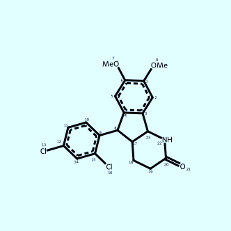 COc1cc2c(cc1OC)C(c1ccc(Cl)cc1Cl)C1CCC(=O)NC21